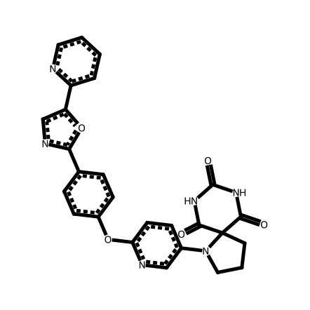 O=C1NC(=O)C2(CCCN2c2ccc(Oc3ccc(-c4ncc(-c5ccccn5)o4)cc3)nc2)C(=O)N1